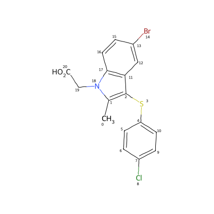 Cc1c(Sc2ccc(Cl)cc2)c2cc(Br)ccc2n1CC(=O)O